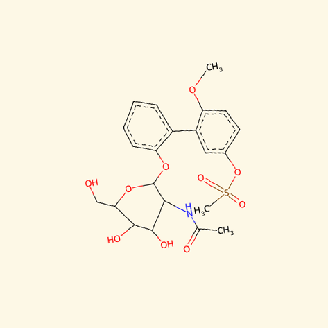 COc1ccc(OS(C)(=O)=O)cc1-c1ccccc1OC1OC(CO)C(O)C(O)C1NC(C)=O